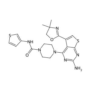 CC1(C)COC(c2csc3nc(N)nc(N4CCN(C(=O)Nc5ccsc5)CC4)c23)=N1